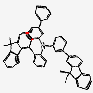 CC1(C)c2ccccc2-c2ccc(-c3cccc(N(c4cccc(-c5ccccc5)c4)c4ccccc4-c4cccc5c4-c4ccccc4C5(C)C)c3)cc21